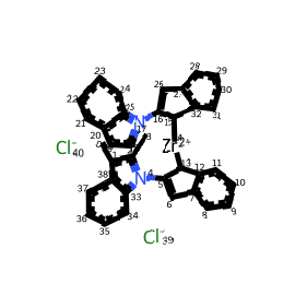 Cc1c(C)n(C2=Cc3ccccc3[CH]2[Zr+2][CH]2C(n3ccc4ccccc43)=Cc3ccccc32)c2ccccc12.[Cl-].[Cl-]